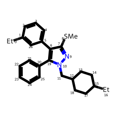 CCc1cccc(-c2c(SC)nn(CC3CCC(CC)CC3)c2-c2ccccc2)c1